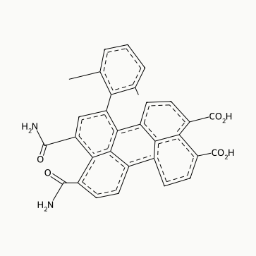 Cc1cccc(C)c1-c1cc(C(N)=O)c2c(C(N)=O)ccc3c4ccc(C(=O)O)c5c(C(=O)O)ccc(c1c23)c54